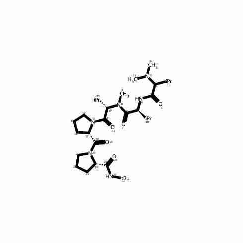 CC(C)C(C(=O)N[C@H](C(=O)N(C)[C@H](C(=O)N1CCC[C@H]1C(=O)N1CCC[C@H]1C(=O)NC(C)(C)C)C(C)C)C(C)C)N(C)C